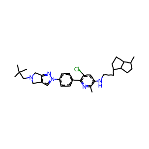 Cc1nc(-c2ccc(-n3cc4c(n3)CN(CC(C)(C)C)C4)cc2)c(Cl)cc1NCCC1CCC2C(C)CCC12